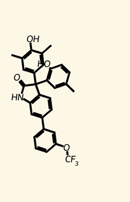 Cc1ccc(O)c(C2(c3cc(C)c(O)c(C)c3)C(=O)Nc3cc(-c4cccc(OC(F)(F)F)c4)ccc32)c1